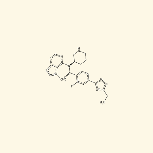 CCc1nnc(-c2ccc(C(=O)N(c3nccc4scc(C)c34)[C@@H]3CCCNC3)c(F)c2)o1